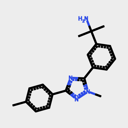 Cc1ccc(-c2nc(-c3cccc(C(C)(C)N)c3)n(C)n2)cc1